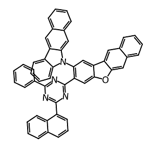 c1ccc(-c2nc(-c3cc4oc5cc6ccccc6cc5c4cc3-n3c4ccccc4c4cc5ccccc5cc43)nc(-c3cccc4ccccc34)n2)cc1